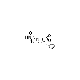 O=c1cc(N2CCN(C(Cc3ccccc3)C3=COCO3)CC2)nc[nH]1